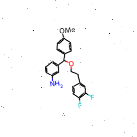 COc1ccc(C(OCCc2ccc(F)c(F)c2)c2cccc(N)c2)cc1